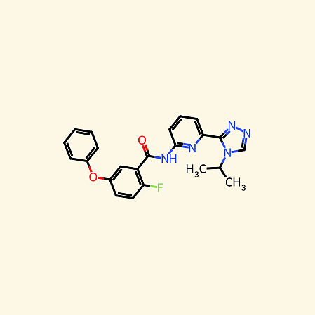 CC(C)n1cnnc1-c1cccc(NC(=O)c2cc(Oc3ccccc3)ccc2F)n1